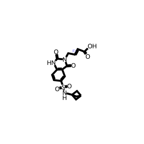 O=C(O)/C=C/Cn1c(=O)[nH]c2ccc(S(=O)(=O)NC34CC(C3)C4)cc2c1=O